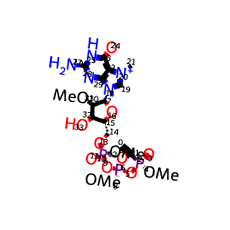 C#CP(=O)(OC)OP(=O)(OC)OP(=O)(OC)OC[C@H]1O[C@@H](n2c[n+](C)c3c(=O)[nH]c(N)nc32)C(OC)C1O